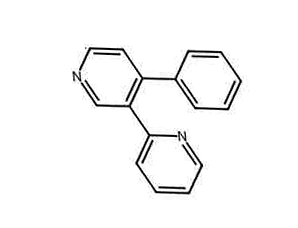 [c]1cc(-c2ccccc2)c(-c2ccccn2)cn1